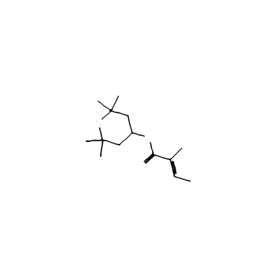 C/C=C(\C)C(=O)OC1CC(C)(C)NC(C)(C)C1